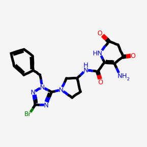 NC1=C(C(=O)NC2CCN(c3nc(Br)nn3Cc3ccccc3)C2)NC(=O)CC1=O